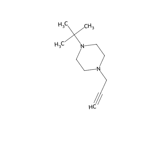 C#CCN1CCN(C(C)(C)C)CC1